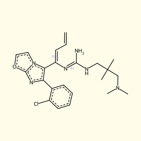 C=C/C=C(\N=C(/N)NCC(C)(C)CN(C)C)c1c(-c2ccccc2Cl)nc2occn12